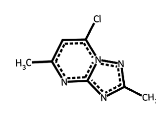 Cc1cc(Cl)n2nc(C)nc2n1